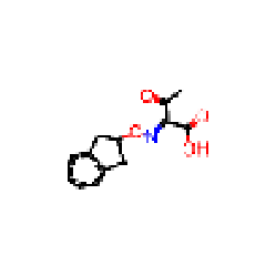 CC(=O)/C(=N\OC1Cc2ccccc2C1)C(=O)O